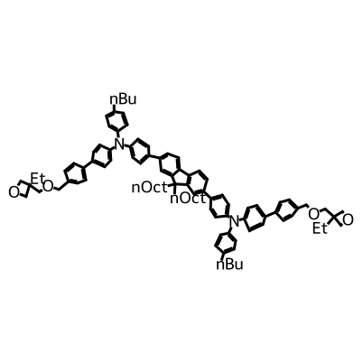 CCCCCCCCC1(CCCCCCCC)c2cc(-c3ccc(N(c4ccc(CCCC)cc4)c4ccc(-c5ccc(COCC6(CC)COC6)cc5)cc4)cc3)ccc2-c2ccc(-c3ccc(N(c4ccc(CCCC)cc4)c4ccc(-c5ccc(COCC6(CC)COC6)cc5)cc4)cc3)cc21